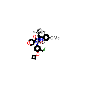 COc1ccc(CNC(=O)C2(N(C(=O)C#C[Si](C(C)C)(C(C)C)C(C)C)c3ccc(OC4CCC4)c(CF)c3)CCOCC2)c(OC)c1